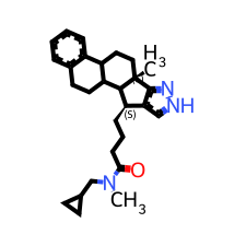 CN(CC1CC1)C(=O)CCC[C@@H]1c2c[nH]nc2[C@@]2(C)CCC3c4ccccc4CCC3C12